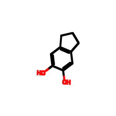 Oc1cc2c(cc1O)CCC2